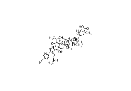 CNCCn1c(-c2ccc(C#N)cn2)nnc1[C@@H](O)[C@@]12CC[C@]3(C)[C@H](CC[C@@H]4[C@@]5(C)CC[C@H](OC(=O)CC(C)(C)C(=O)O)C(C)(C)[C@@H]5CC[C@]43C)C1=C(C(C)C)C(=O)C2